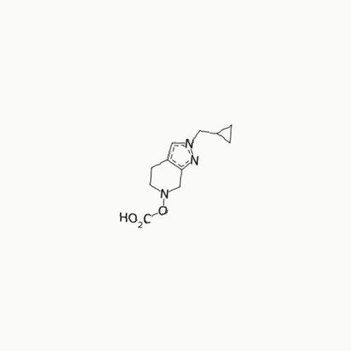 O=C(O)ON1CCc2cn(CC3CC3)nc2C1